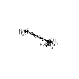 C=C(C)C(=O)OCCOCCOCCOCCOCCC[Si](C)(O[Si](C)(C)C)O[Si](C)(C)C